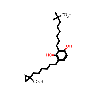 CC(C)(CCCCCCc1c(O)ccc(CCCCCCC2(C(=O)O)CC2)c1O)C(=O)O